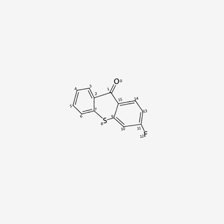 O=c1c2ccccc2sc2cc(F)ccc12